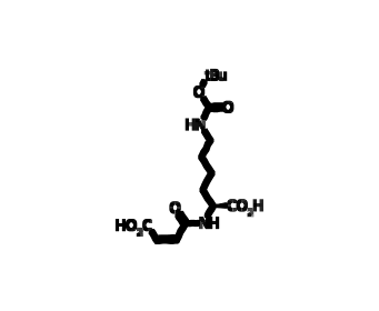 CC(C)(C)OC(=O)NCCCC[C@H](NC(=O)/C=C\C(=O)O)C(=O)O